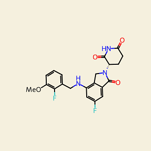 COc1cccc(CNc2cc(F)cc3c2CN([C@H]2CCC(=O)NC2=O)C3=O)c1F